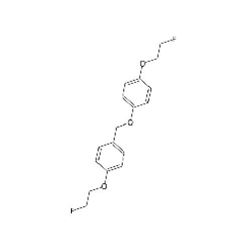 FCCOc1ccc(COc2ccc(OCCF)cc2)cc1